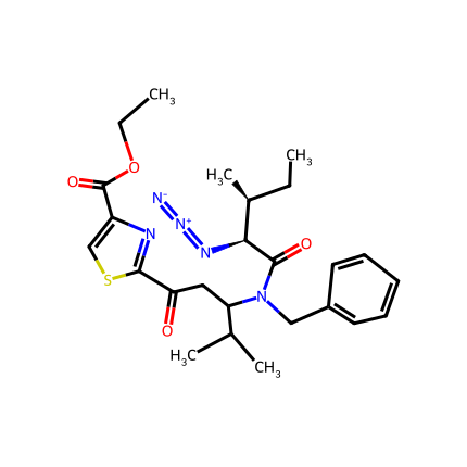 CCOC(=O)c1csc(C(=O)CC(C(C)C)N(Cc2ccccc2)C(=O)[C@@H](N=[N+]=[N-])[C@@H](C)CC)n1